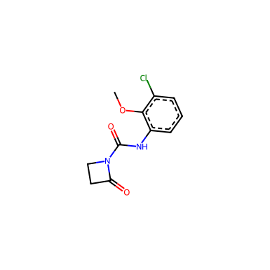 COc1c(Cl)cccc1NC(=O)N1CCC1=O